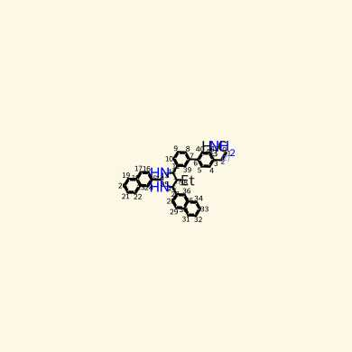 C/C=C\c1ccc(-c2cccc(C3NC(c4ccc5ccccc5c4)NC(c4ccc5ccccc5c4)C3CC)c2)cc1N